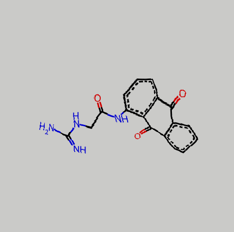 N=C(N)NCC(=O)Nc1cccc2c1C(=O)c1ccccc1C2=O